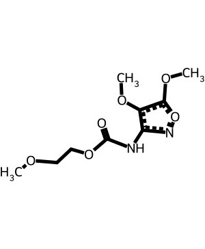 COCCOC(=O)Nc1noc(OC)c1OC